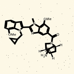 COc1cc(C(=O)N2C[C@H]3CC[C@@H]2C[C@@H]3N)cc2nc(-c3cc4cccc(OC)c4n3CC3CC3)n(C)c12